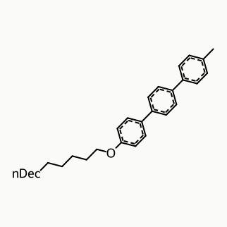 [CH2+][CH-]CCCCCCCCCCCCCOc1ccc(-c2ccc(-c3ccc(C)cc3)cc2)cc1